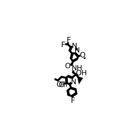 COc1cc(C(=O)NCC(O)(c2cc(CC(C)O)c(Cl)c(-c3ccc(F)cc3)n2)C2CC2)cc2cc(C(F)F)nnc12